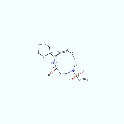 C=CS(=O)(=O)N1CCCC=C=C(C2CCCCC2)NC(=O)CC1